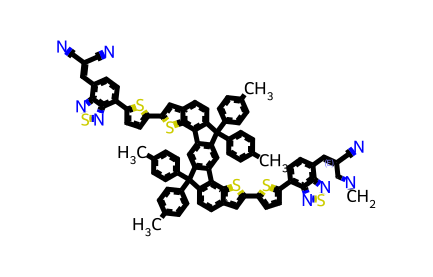 C=NC/C(C#N)=C\c1ccc(-c2ccc(-c3cc4ccc5c(c4s3)-c3cc4c(cc3C5(c3ccc(C)cc3)c3ccc(C)cc3)-c3c(ccc5cc(-c6ccc(-c7ccc(C=C(C#N)C#N)c8nsnc78)s6)sc35)C4(c3ccc(C)cc3)c3ccc(C)cc3)s2)c2nsnc12